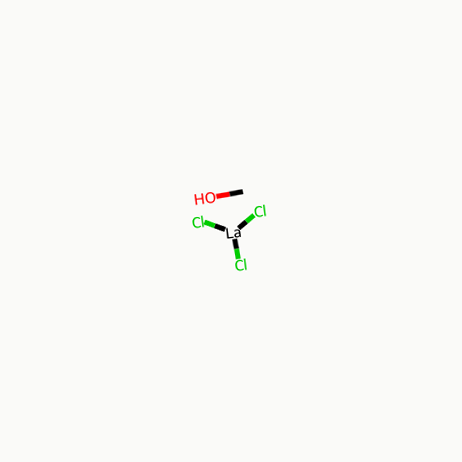 CO.[Cl][La]([Cl])[Cl]